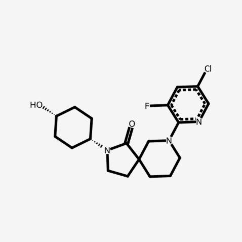 O=C1N([C@H]2CC[C@@H](O)CC2)CCC12CCCN(c1ncc(Cl)cc1F)C2